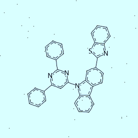 c1ccc(-c2cc(-n3c4ccccc4c4ccc(-c5nc6ccccc6s5)cc43)nc(-c3ccccc3)n2)cc1